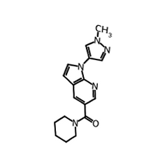 Cn1cc(-n2ccc3cc(C(=O)N4CCCCC4)cnc32)cn1